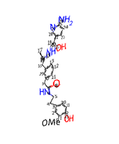 COc1cc(CCNC(=O)Cc2cccc(C[C@@H](C)NC[C@@H](O)c3ccc(N)nc3)c2)ccc1O